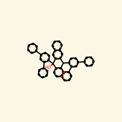 OC1(c2ccc(-c3ccccc3)cc2-c2ccccc2)c2ccccc2C(c2ccc(-c3ccccc3)cc2-c2ccccc2)c2cc3ccccc3cc21